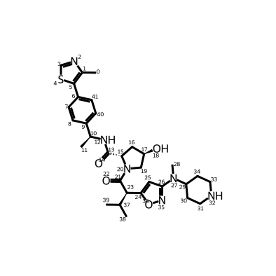 Cc1ncsc1-c1ccc([C@H](C)NC(=O)[C@@H]2C[C@@H](O)CN2C(=O)[C@@H](c2cc(N(C)C3CCNCC3)no2)C(C)C)cc1